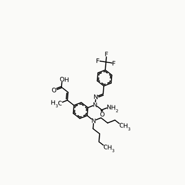 CCCCN(CCCC)c1ccc(/C(C)=C/C(=O)O)cc1N(/N=C/c1ccc(C(F)(F)F)cc1)C(N)=O